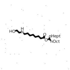 CCCCCCCCC(CCCCCCC)OC(=O)CCCCCCCNCCO